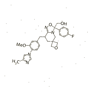 COc1cc(CC2CC3(COC3)CN3C2=NOC3(CO)c2ccc(F)cc2)ccc1-n1cnc(C)c1